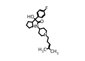 CC(C)=CCCN1CCC(NC(=O)C(O)(c2ccc(F)cc2)C2CCCC2)CC1